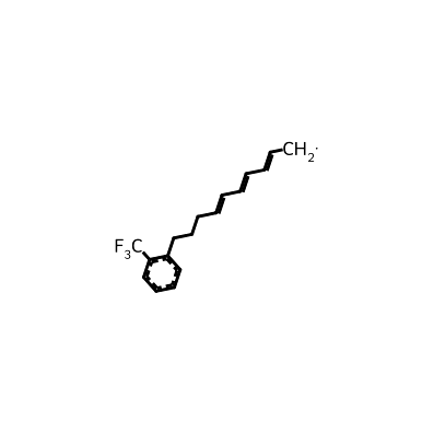 [CH2]C=CC=CC=CCCCc1ccccc1C(F)(F)F